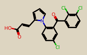 O=C(O)C=Cc1cccn1-c1ccc(Cl)cc1C(=O)c1cccc(Cl)c1Cl